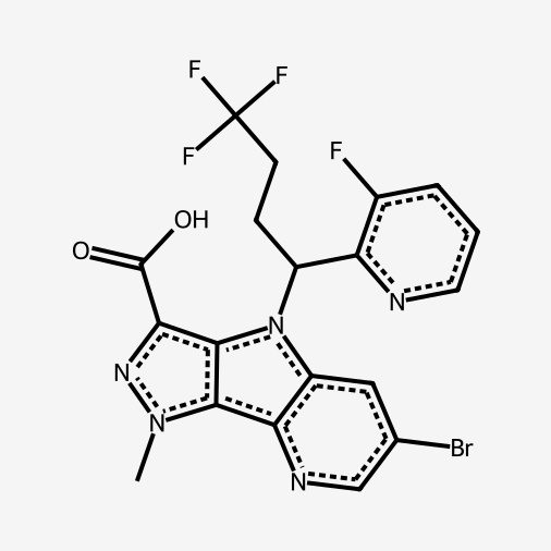 Cn1nc(C(=O)O)c2c1c1ncc(Br)cc1n2C(CCC(F)(F)F)c1ncccc1F